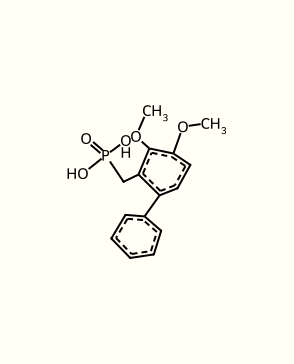 COc1ccc(-c2ccccc2)c(CP(=O)(O)O)c1OC